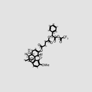 COc1ccc2c3c1O[C@H]1C(OC(=O)CCC(=O)O[C@H](C(=O)OC(=O)C(F)(F)F)c4ccccc4)=CC[C@@]4(O)[C@@H](C2)N(C)CC[C@]314